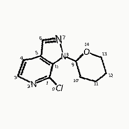 Clc1nccc2cnn(C3CCCCO3)c12